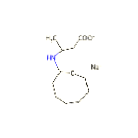 CC(CC(=O)[O-])NC1CCCCCCC1.[Na+]